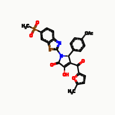 CC(=O)Oc1ccc(C2C(C(=O)c3ccc(C)o3)=C(O)C(=O)N2c2nc3ccc(S(C)(=O)=O)cc3s2)cc1